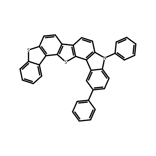 c1ccc(-c2ccc3c(c2)c2c4sc5c(ccc6sc7ccccc7c65)c4ccc2n3-c2ccccc2)cc1